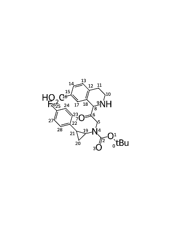 CC(C)(C)OC(=O)N(CC(=O)C1NCCc2ccc(C(=O)O)cc21)C1CC1c1ccc(F)cc1